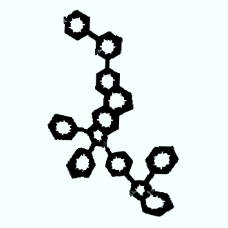 c1ccc(-c2c(-c3ccccc3)n(-c3ccc(-c4nc5ccccn5c4-c4ccccc4)cc3)c3cc4ccc5cc(-c6cccc(-c7ccncc7)n6)ccc5c4cc23)cc1